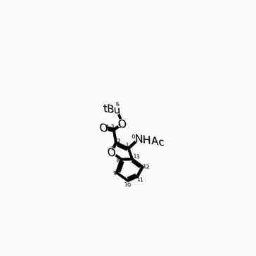 CC(=O)Nc1c(C(=O)OC(C)(C)C)oc2ccccc12